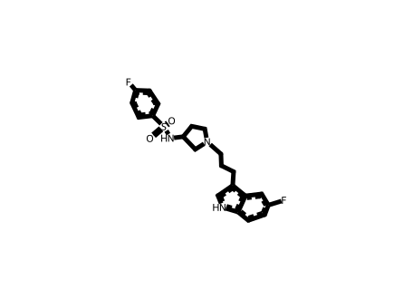 O=S(=O)(NC1CCN(CCCc2c[nH]c3ccc(F)cc23)C1)c1ccc(F)cc1